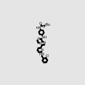 CC(C)(C)OC(=O)NC1CCC(Nc2nccn3c(-c4cccc(NCc5ccccc5Cl)n4)cnc23)CC1